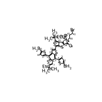 Bc1ccc(-c2c3cc(C(C)(C)CC)sc3c(-c3ccc(B)s3)c3cc(-c4sc(C(C)(C)CC)c5c6c(sc45)C(=O)N(CCCBr)S6(=O)=O)sc23)s1